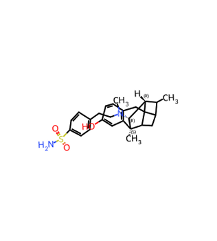 CC1C2CC3C24Cc2ccc(O)cc2[C@@]3(C)[C@H](N(C)CCc2ccc(S(N)(=O)=O)cc2)[C@H]14